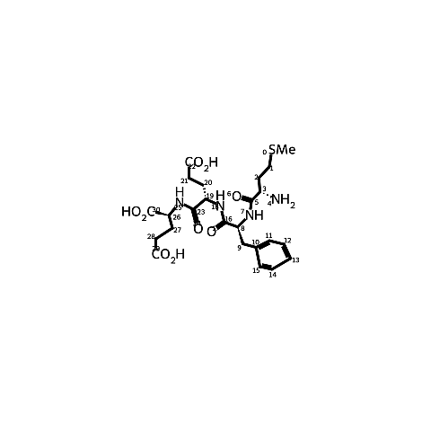 CSCC[C@H](N)C(=O)N[C@@H](Cc1ccccc1)C(=O)N[C@@H](CCC(=O)O)C(=O)N[C@@H](CCC(=O)O)C(=O)O